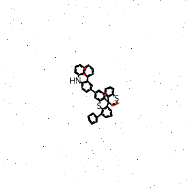 c1ccc(Nc2ccc(-c3ccc4c(c3)Sc3c(-c5ccccc5)cccc3C43c4ccccc4Sc4ccccc43)cc2-c2ccccc2)cc1